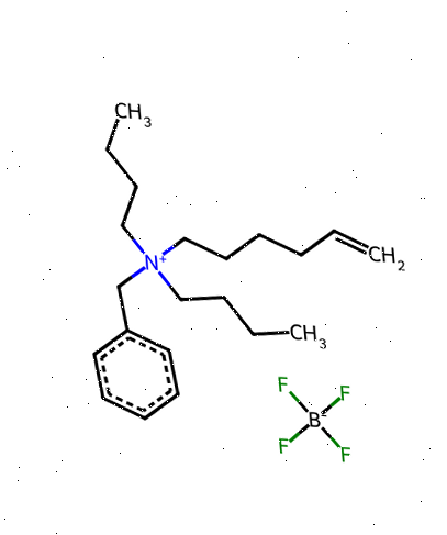 C=CCCCC[N+](CCCC)(CCCC)Cc1ccccc1.F[B-](F)(F)F